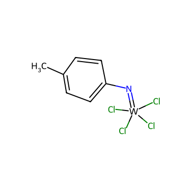 Cc1ccc([N]=[W]([Cl])([Cl])([Cl])[Cl])cc1